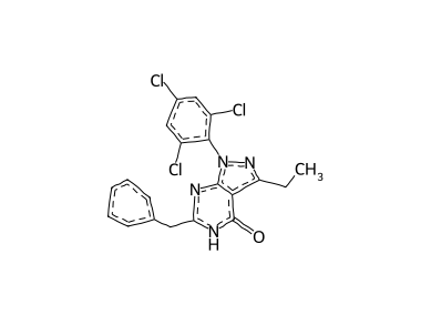 CCc1nn(-c2c(Cl)cc(Cl)cc2Cl)c2nc(Cc3ccccc3)[nH]c(=O)c12